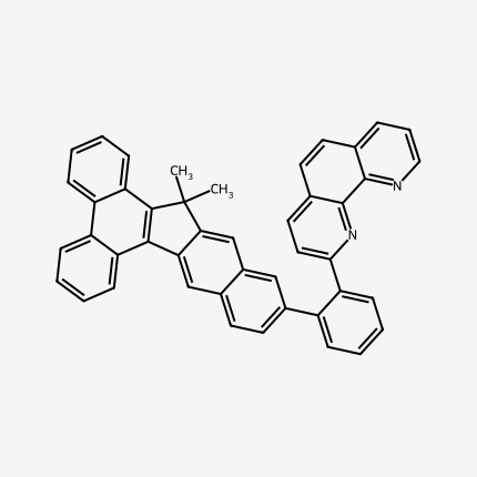 CC1(C)c2cc3cc(-c4ccccc4-c4ccc5ccc6cccnc6c5n4)ccc3cc2-c2c1c1ccccc1c1ccccc21